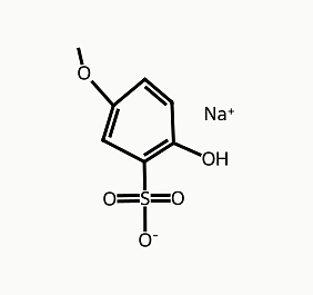 COc1ccc(O)c(S(=O)(=O)[O-])c1.[Na+]